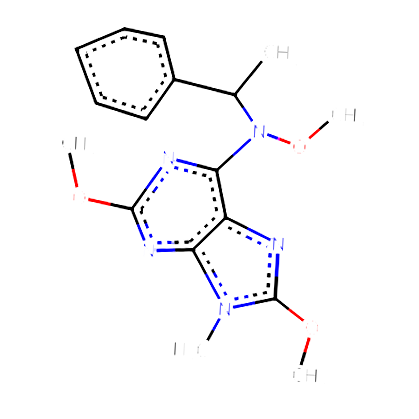 COc1nc(N(OC)C(C)c2ccccc2)c2nc(OC)n(C)c2n1